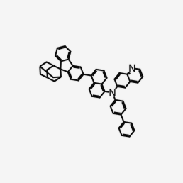 c1ccc(-c2ccc(N(c3ccc4ncccc4c3)c3cccc4c(-c5ccc6c(c5)-c5ccccc5C65C6CC7CC(C6)CC5C7)cccc34)cc2)cc1